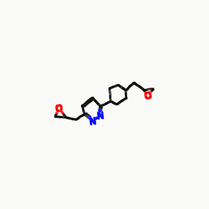 c1cc(C2CCC(CC3CO3)CC2)nnc1CC1CO1